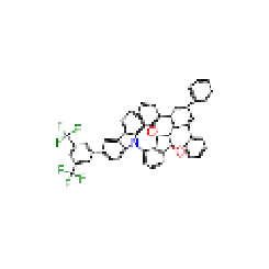 O=C1c2cccc(-n3c4ccccc4c4cc(-c5cc(C(F)(F)F)cc(C(F)(F)F)c5)ccc43)c2C(=O)C1c1c(-c2ccccc2)cc(-c2ccccc2)cc1-c1ccccc1